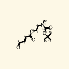 CN(CCOC(=O)C=CC=O)C(=O)OC(C)(C)C